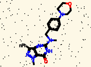 CCCc1nn(C)c2c(=O)[nH]c(N(C)Cc3ccc(N4CCOCC4)cc3)nc12